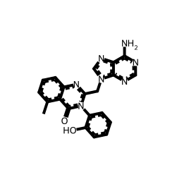 Cc1cccc2nc(Cn3cnc4c(N)ncnc43)n(-c3ccccc3O)c(=O)c12